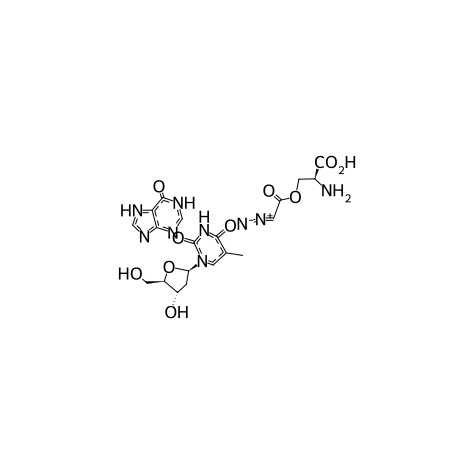 Cc1cn([C@H]2C[C@H](O)[C@@H](CO)O2)c(=O)[nH]c1=O.O=c1[nH]cnc2nc[nH]c12.[N-]=[N+]=CC(=O)OC[C@H](N)C(=O)O